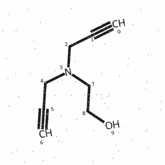 C#CCN(CC#C)CCO